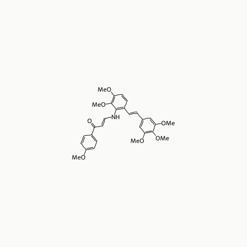 COc1ccc(C(=O)C=CNc2c(C=Cc3cc(OC)c(OC)c(OC)c3)ccc(OC)c2OC)cc1